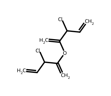 C=CC(Cl)C(=C)OC(=C)C(Cl)C=C